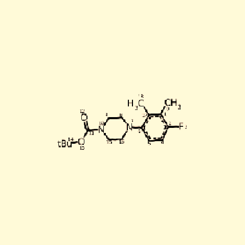 Cc1c(F)ccc(N2CCN(C(=O)OC(C)(C)C)CC2)c1C